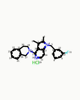 Cc1c(C)n(Cc2cccc(F)c2)c2ccnc(N3CCc4ccccc4C3)c12.Cl